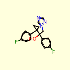 OC(Cn1cncn1)(c1ccc(F)cc1)C1(c2ccc(F)cc2)CC1